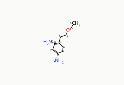 CCOCCc1ccc(N)cc1N